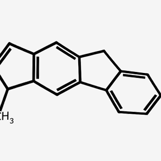 CC1C=Cc2cc3c(cc21)-c1ccccc1C3